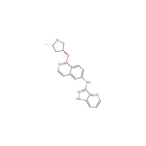 C[C@H]1C[C@H](Oc2nccc3cc(Nc4n[nH]c5cccnc45)ccc23)CO1